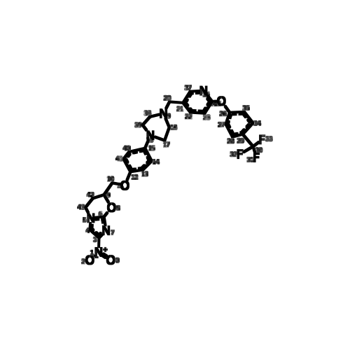 O=[N+]([O-])c1cn2c(n1)OC(COc1ccc(N3CCN(Cc4ccc(Oc5ccc(C(F)(F)F)cc5)nc4)CC3)cc1)CC2